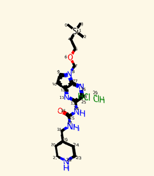 C[Si](C)(C)CCOCn1ccc2nc(NC(=O)NCC3CCNCC3)cnc21.Cl.Cl